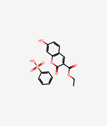 CCOC(=O)c1cc2ccc(O)cc2oc1=O.O=S(=O)(O)c1ccccc1